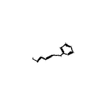 CC=CC=CCc1ccccc1